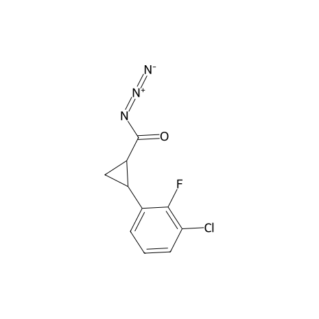 [N-]=[N+]=NC(=O)C1CC1c1cccc(Cl)c1F